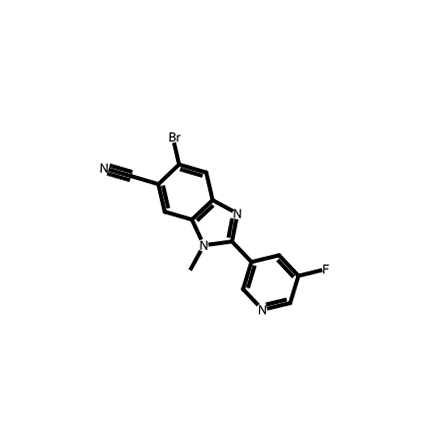 Cn1c(-c2cncc(F)c2)nc2cc(Br)c(C#N)cc21